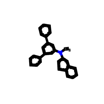 CN(c1cc(-c2ccccc2)cc(-c2ccccc2)c1)c1ccc2ccccc2c1